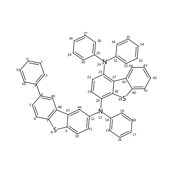 c1ccc(-c2ccc3sc4ccc(N(c5ccccc5)c5ccc(N(c6ccccc6)c6ccccc6)c6c5sc5ccccc56)cc4c3c2)cc1